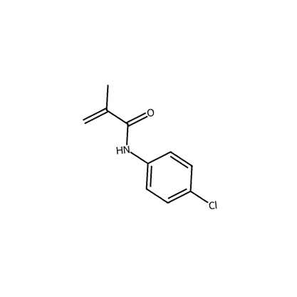 C=C(C)C(=O)Nc1ccc(Cl)cc1